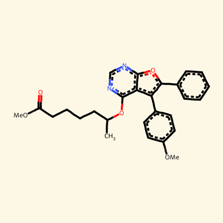 COC(=O)CCCCC(C)Oc1ncnc2oc(-c3ccccc3)c(-c3ccc(OC)cc3)c12